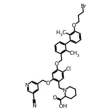 Cc1c(COc2cc(OCc3cncc(C#N)c3)c(CN3CCCCC3C(=O)O)cc2Cl)cccc1-c1cccc(OCCCBr)c1C